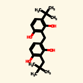 CC(C)(C)Cc1c(O)ccc(Cc2c(O)ccc(C(C)(C)C)c2O)c1O